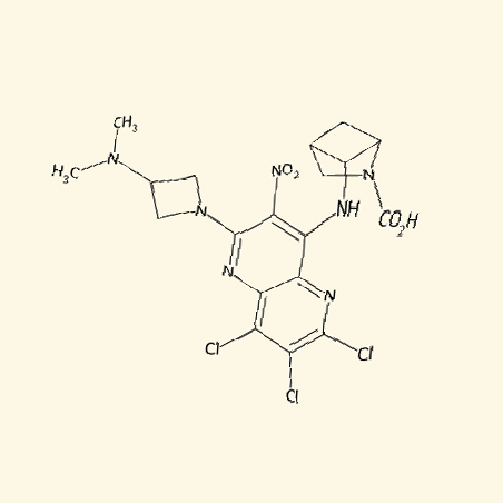 CN(C)C1CN(c2nc3c(Cl)c(Cl)c(Cl)nc3c(NC3C4CC3N(C(=O)O)C4)c2[N+](=O)[O-])C1